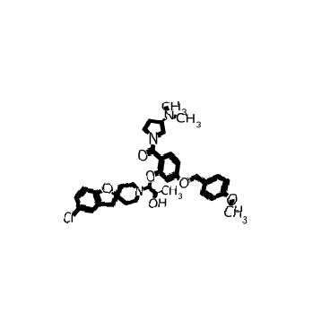 COc1ccc(COc2ccc(C(=O)N3CC[C@@H](N(C)C)C3)c(OC([C@H](C)O)N3CCC4(CC3)Cc3cc(Cl)ccc3O4)c2)cc1